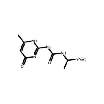 CCCCCC(C)NC(=O)Nc1nc(=O)cc(C)[nH]1